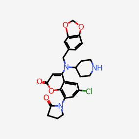 O=C1CCCN1c1cc(Cl)cc2c(N(Cc3ccc4c(c3)OCO4)C3CCNCC3)cc(=O)oc12